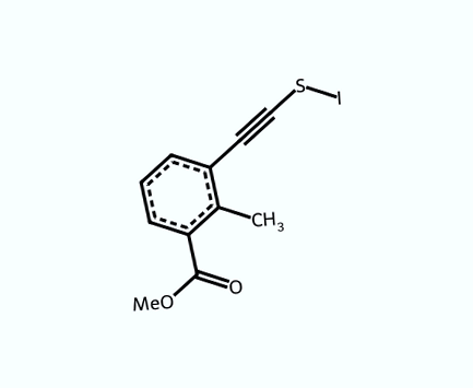 COC(=O)c1cccc(C#CSI)c1C